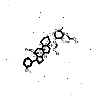 CCOCO[C@@H]1[C@H](O[C@H]2CC[C@@]3(C)[C@H](CC[C@@H]4[C@@H]3CC[C@]3(C)C(c5cccc(C(F)(F)F)c5)=CC[C@]43OCOCC)C2)O[C@@H](C)[C@H](OCOCC)[C@H]1OC